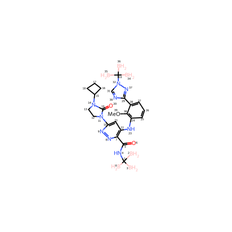 BC(B)(B)NC(=O)c1nnc(N2CCN(C3CCC3)C2=O)cc1Nc1cccc(-c2ncn(C(B)(B)B)n2)c1OC